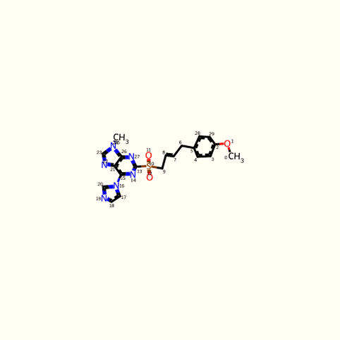 COc1ccc(CC=CCS(=O)(=O)c2nc(-n3ccnc3)c3ncn(C)c3n2)cc1